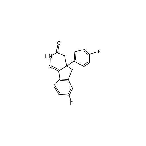 O=C1CC2(c3ccc(F)cc3)Cc3cc(F)ccc3C2=NN1